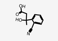 CC(O)(CC(=O)O)c1ccccc1C#N